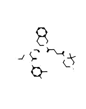 CCN1CCN(C(=O)CCC(=O)N2Cc3ccccc3C[C@H]2C(=O)N[C@@H](CCN)C(=O)Nc2ccc(Cl)c(C)c2)C(C)(C)C1